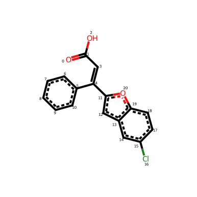 O=C(O)C=C(c1ccccc1)c1cc2cc(Cl)ccc2o1